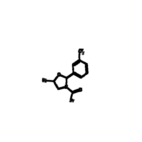 CCC1CN(C(=O)C(C)C)C(c2cccc(C(F)(F)F)c2)O1